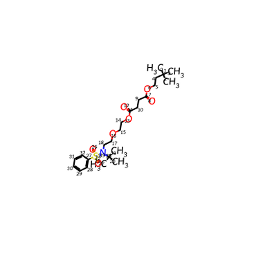 CC(C)(C)CCOC(=O)CCC(=O)OCCOCCN(C(C)(C)C)S(=O)(=O)c1ccccc1